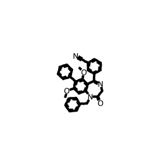 COc1cc2c(c(OC)c1-c1ccccc1)C(c1cccc(C#N)c1)=NCC(=O)N2Cc1ccccc1